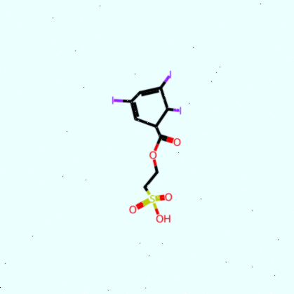 O=C(OCCS(=O)(=O)O)C1C=C(I)C=C(I)C1I